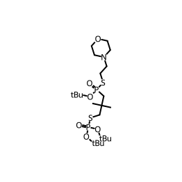 CC(C)(CSP(=O)(OC(C)(C)C)OC(C)(C)C)CP(=O)(OC(C)(C)C)SCCN1CCOCC1